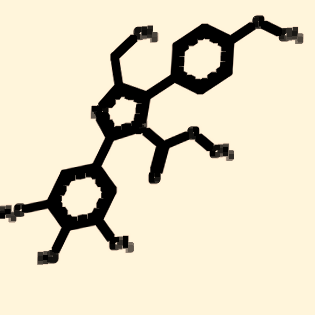 CCc1nc(-c2cc(C)c(O)c(C)c2)n(C(=O)OC)c1-c1ccc(OC)cc1